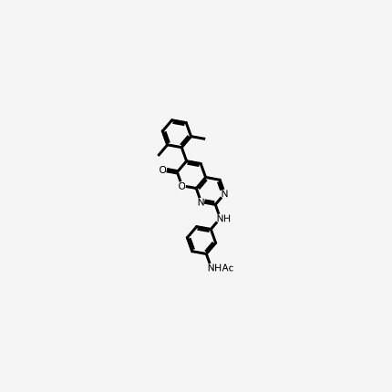 CC(=O)Nc1cccc(Nc2ncc3cc(-c4c(C)cccc4C)c(=O)oc3n2)c1